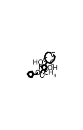 Cc1c(C(=O)OCc2ccccc2)nc(O)c(C2CCCCCCCCCC2)c1O